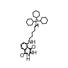 O=c1[nH][nH]c(=O)c2c(NCCCCCC[PH](C3CCCCC3)(C3CCCCC3)C3CCCCC3)cccc12